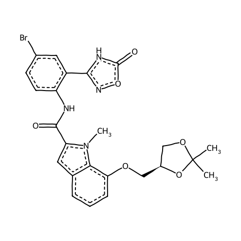 Cn1c(C(=O)Nc2ccc(Br)cc2-c2noc(=O)[nH]2)cc2cccc(OC[C@H]3COC(C)(C)O3)c21